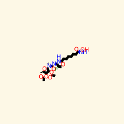 C=C(F)/C(=N\C(=O)N(C)[C@@H]1O[C@H](C)[C@@H](OC(C)=O)[C@H]1OC(C)=O)NC(=O)CCCCCCC(=O)NO